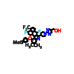 COc1ccc(O[C@H]2CC(C)(C)Cc3nc(C4CCN(c5ncc(CO)cn5)CC4)c(C(F)c4ccc(C(F)(F)F)cc4)c(C4CCC(F)(F)CC4)c32)cc1